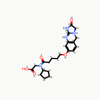 O=C(O)CN(C(=O)CCCCOc1ccc2c(c1)N=C1NC(=O)CN1C2)C1CCCC1